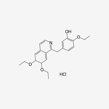 CCOc1ccc(Cc2nccc3c2=CC(OCC)C(OCC)C=3)cc1O.Cl